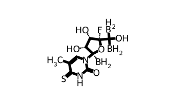 BC(B)(O)[C@@]1(F)O[C@@](B)(n2cc(C)c(=S)[nH]c2=O)[C@H](O)[C@@H]1O